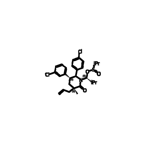 C=CC[C@@]1(C)C[C@H](c2cccc(Cl)c2)C(c2ccc(Cl)cc2)N([C@H](OS(=O)C(C)C)C(C)C)C1=O